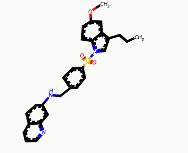 CCCc1cn(S(=O)(=O)c2ccc(CNc3ccc4cccnc4c3)cc2)c2ccc(OC)cc12